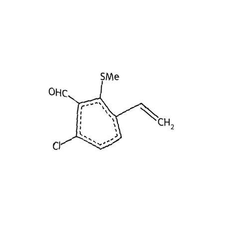 C=Cc1ccc(Cl)c(C=O)c1SC